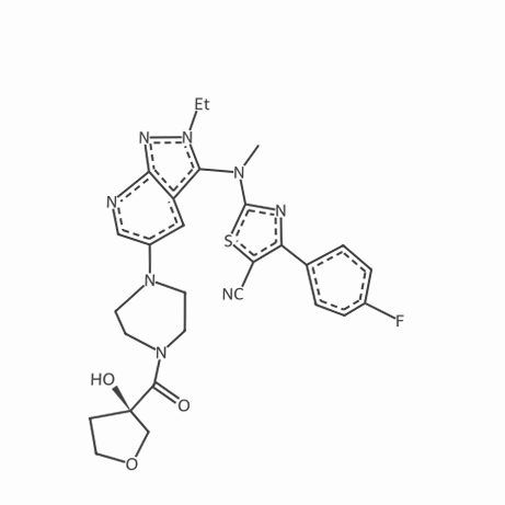 CCn1nc2ncc(N3CCN(C(=O)[C@@]4(O)CCOC4)CC3)cc2c1N(C)c1nc(-c2ccc(F)cc2)c(C#N)s1